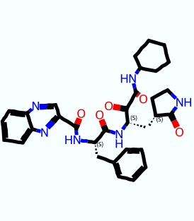 O=C(NC1CCCCC1)C(=O)[C@H](C[C@@H]1CCNC1=O)NC(=O)[C@H](Cc1ccccc1)NC(=O)c1cnc2ccccc2n1